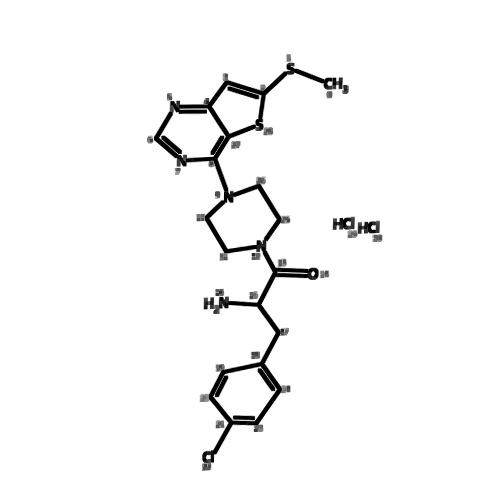 CSc1cc2ncnc(N3CCN(C(=O)C(N)Cc4ccc(Cl)cc4)CC3)c2s1.Cl.Cl